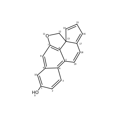 Oc1ccc2c3c4c(cc2c1)OCC41C=CC=C1C=C3